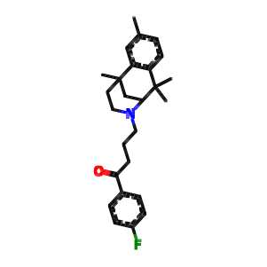 Cc1ccc2c(c1)C1(C)CCN(CCCC(=O)c3ccc(F)cc3)C(C1)C2(C)C